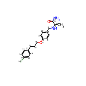 CC(NCc1ccc(OCCCc2ccc(F)cc2)cc1)C(N)=O